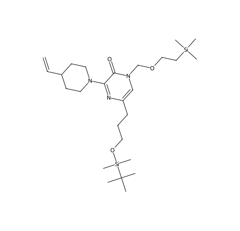 C=CC1CCN(c2nc(CCCO[Si](C)(C)C(C)(C)C)cn(COCC[Si](C)(C)C)c2=O)CC1